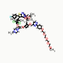 COCCOCCOCCOCCOC1CCC(c2nccc(COc3ccc4cc3C[C@H](C(=O)OC(C)(C)C)Oc3ncnc5sc(-c6ccc(F)cc6)c(c35)-c3c(C)c(Cl)c(c(Cl)c3C)O[C@H](CN3CCN(C)CC3)CO4)n2)CC1